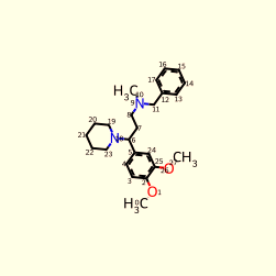 COc1ccc(C(CCN(C)Cc2ccccc2)N2CCCCC2)cc1OC